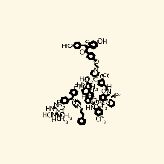 CCOc1cc(CC(=O)N[C@@H](CC(C)C)c2ccccc2N2CCCCC2)ccc1C(=O)O.CN(C)C(=N)NC(=N)N.C[C@]12C=CC(=O)N[C@@H]1CC[C@@H]1[C@@H]2CC[C@]2(C)[C@@H](C(=O)Nc3cc(C(F)(F)F)ccc3C(F)(F)F)CC[C@@H]12.Cl.Fc1ccc(C(c2ccc(F)cc2)N2CCN(C/C=C/c3ccccc3)CC2)cc1.O=C(c1ccc(OCCN2CCCCC2)cc1)c1c(-c2ccc(O)cc2)sc2cc(O)ccc12